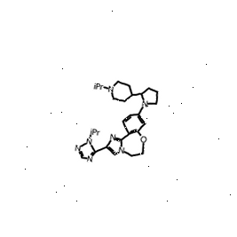 CC(C)N1CCC(C2CCCN2c2ccc3c(c2)OCCn2cc(-c4ncnn4C(C)C)nc2-3)CC1